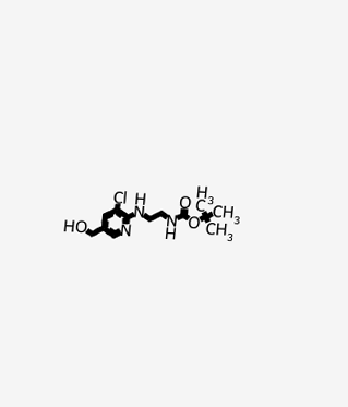 CC(C)(C)OC(=O)NCCNc1ncc(CO)cc1Cl